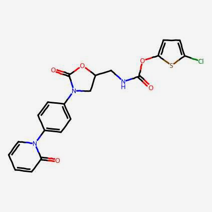 O=C(NCC1CN(c2ccc(-n3ccccc3=O)cc2)C(=O)O1)Oc1ccc(Cl)s1